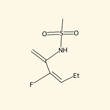 C=C(NS(C)(=O)=O)/C(F)=C\CC